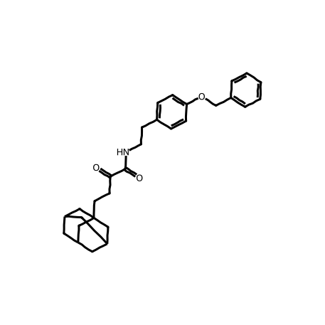 O=C(CCC12CC3CC(CC(C3)C1)C2)C(=O)NCCc1ccc(OCc2ccccc2)cc1